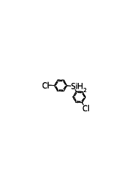 Clc1ccc([SiH2]c2ccc(Cl)cc2)cc1